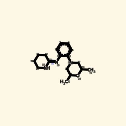 CC1CN(c2ccccc2/N=C2\CCCCN2)CC(C)O1